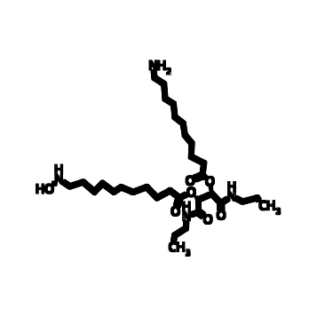 CCCNC(=O)[C@H](OC(=O)CCCCCCCCCCN)[C@@H](OC(=O)CCCCCCCCCCNO)C(=O)NCCC